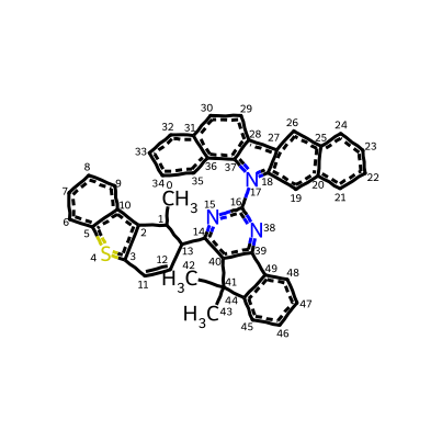 CC1c2c(sc3ccccc23)C=CC1c1nc(-n2c3cc4ccccc4cc3c3ccc4ccccc4c32)nc2c1C(C)(C)c1ccccc1-2